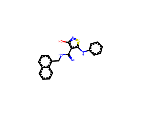 N=C(NCc1cccc2ccccc12)c1c(O)nsc1Nc1ccccc1